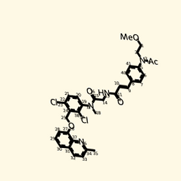 COCCN(C(C)=O)c1ccc(/C=C/C(=O)NCC(=O)N(C)c2ccc(Cl)c(COc3cccc4ccc(C)nc34)c2Cl)cc1